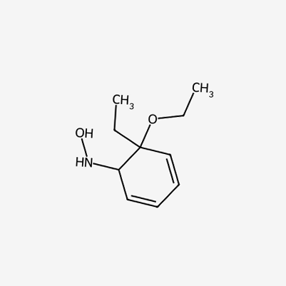 CCOC1(CC)C=CC=CC1NO